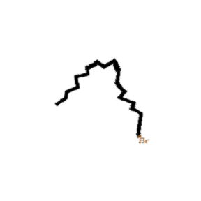 CCCCCC/C=C\C/C=C\CCCCCCCBr